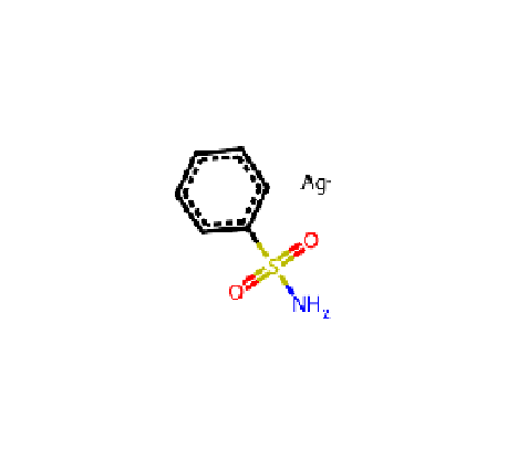 NS(=O)(=O)c1ccccc1.[Ag]